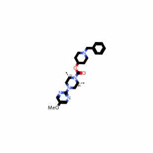 COc1cnc(N2C[C@@H](C)N(C(=O)OC3CCN(Cc4ccccc4)CC3)[C@@H](C)C2)nc1